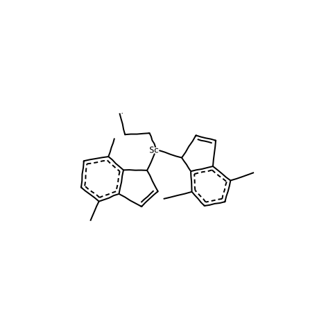 [CH2]C[CH2][Sc]([CH]1C=Cc2c(C)ccc(C)c21)[CH]1C=Cc2c(C)ccc(C)c21